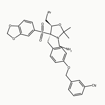 CC(C)C[C@H]1OC(C)(C)N(CN)[C@@]1(Cc1ccc(OCc2cccc(C#N)c2)cc1)S(=O)(=O)c1ccc2c(c1)OCO2